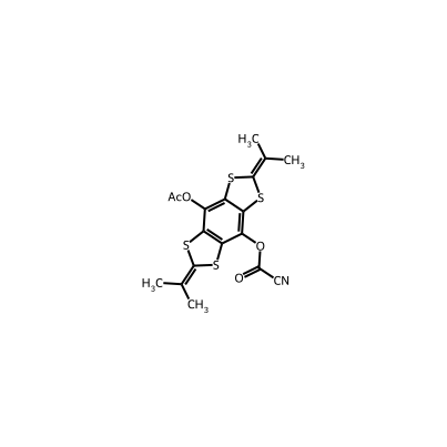 CC(=O)Oc1c2c(c(OC(=O)C#N)c3c1SC(=C(C)C)S3)SC(=C(C)C)S2